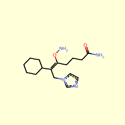 NOC(CCCC(N)=O)=C(Cn1ccnc1)C1CCCCC1